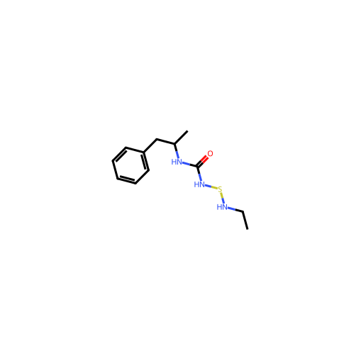 CCNSNC(=O)NC(C)Cc1ccccc1